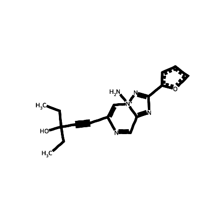 CCC(O)(C#CC1=C[N+]2(N)N=C(c3ccco3)N=C2C=N1)CC